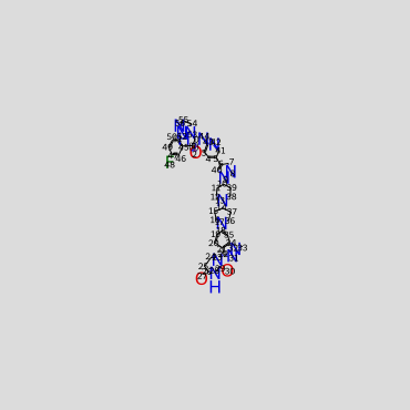 C[C@@H](Oc1cc(-c2cnn(C3CCN(C4CCN(c5ccc6c(N7CCC(=O)NC7=O)nn(C)c6c5)CC4)CC3)c2)cnc1N)c1cc(F)ccc1-n1nccn1